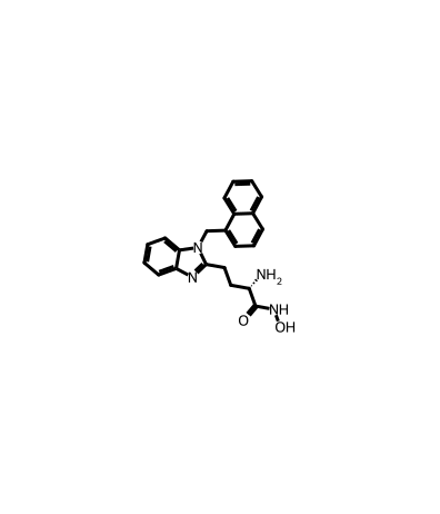 N[C@@H](CCc1nc2ccccc2n1Cc1cccc2ccccc12)C(=O)NO